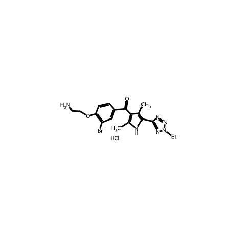 CCn1nnc(-c2[nH]c(C)c(C(=O)c3ccc(OCCN)c(Br)c3)c2C)n1.Cl